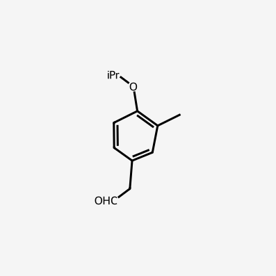 Cc1cc(CC=O)ccc1OC(C)C